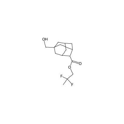 CC(F)(F)COC(=O)C1C2CC3CC1CC(CO)(C3)C2